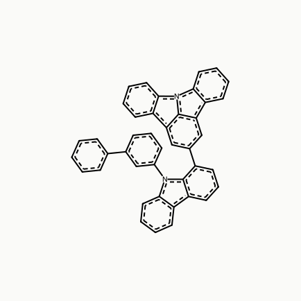 c1ccc(-c2cccc(-n3c4ccccc4c4cccc(-c5cc6c7ccccc7n7c8ccccc8c(c5)c67)c43)c2)cc1